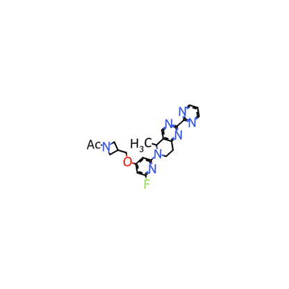 CC(=O)N1CC(COc2cc(F)nc(N3CCc4nc(-c5ncccn5)ncc4C3C)c2)C1